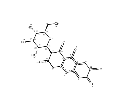 O=C1C=c2oc3c(c(=O)c2=CC1=O)C(=O)C([C@@H]1O[C@H](CO)[C@@H](O)[C@H](O)[C@H]1O)C(=O)C3